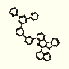 c1ccc(-c2cc(-c3cccc(-c4cccc(-c5cccc6c5nc(-c5cccc7ccccc57)c5sc7ccccc7c56)c4)c3)cc(-c3ccccn3)n2)nc1